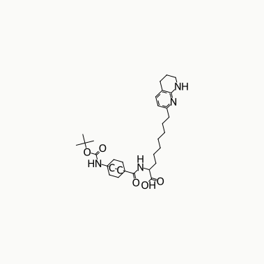 CC(C)(C)OC(=O)NC12CCC(C(=O)NC(CCCCCCCc3ccc4c(n3)NCCC4)C(=O)O)(CC1)CC2